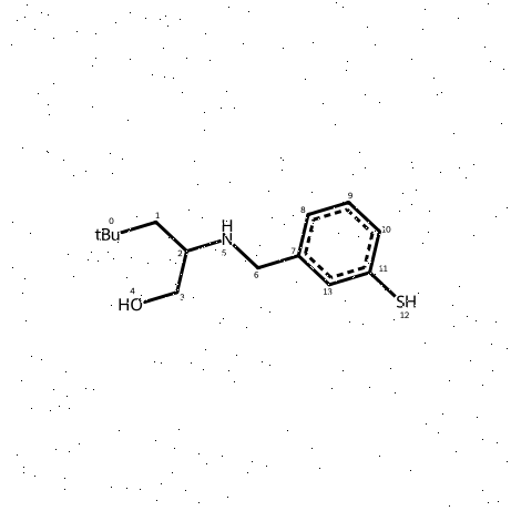 CC(C)(C)CC(CO)NCc1cccc(S)c1